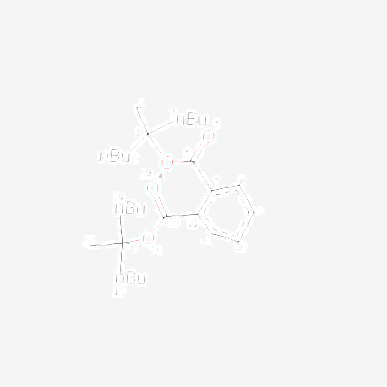 CCCCC(C)(CCCC)OC(=O)c1ccccc1C(=O)OC(C)(CCCC)CCCC